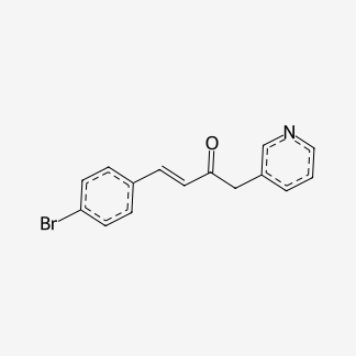 O=C(C=Cc1ccc(Br)cc1)Cc1cccnc1